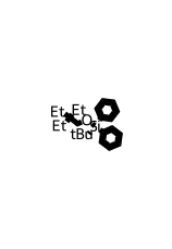 CCC(CC)(CC)CO[Si](c1ccccc1)(c1ccccc1)C(C)(C)C